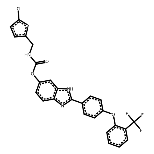 O=C(NCc1ccc(Cl)s1)Oc1ccc2nc(-c3ccc(Oc4ccccc4C(F)(F)F)cc3)[nH]c2c1